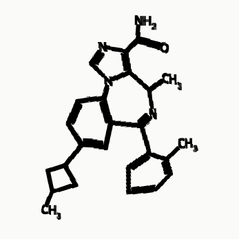 Cc1ccccc1C1=NC(C)c2c(C(N)=O)ncn2-c2ccc(C3CC(C)C3)cc21